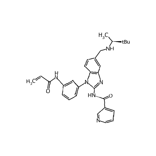 C=CC(=O)Nc1cccc(-n2c(NC(=O)c3cccnc3)nc3cc(CN[C@@H](C)C(C)(C)C)ccc32)c1